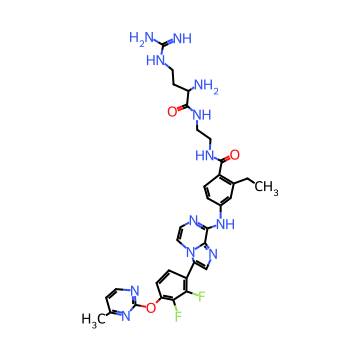 CCc1cc(Nc2nccn3c(-c4ccc(Oc5nccc(C)n5)c(F)c4F)cnc23)ccc1C(=O)NCCNC(=O)C(N)CCNC(=N)N